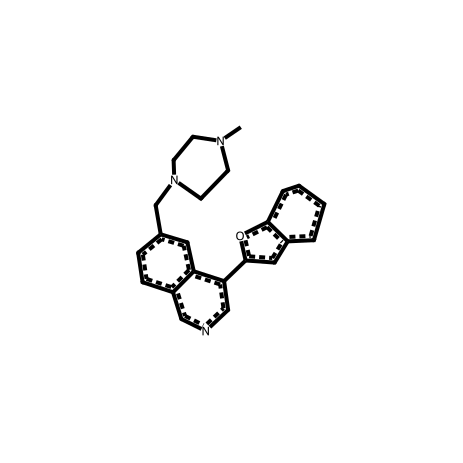 CN1CCN(Cc2ccc3cncc(-c4cc5ccccc5o4)c3c2)CC1